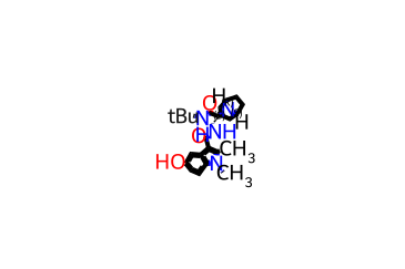 Cc1c(C(=O)NC[C@@H]2C[C@H]3CC[C@@H](C2)N3CC(=O)NC(C)(C)C)c2cc(O)ccc2n1C